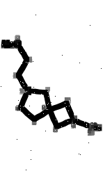 COCCN1CCC2(C1)CN(C(C)(C)C)C2